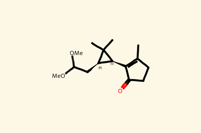 COC(C[C@@H]1[C@H](C2=C(C)CCC2=O)C1(C)C)OC